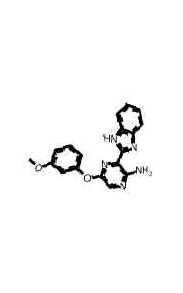 COc1cccc(Oc2cnc(N)c(-c3nc4ccccc4[nH]3)n2)c1